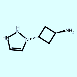 N[C@H]1C[C@H](N2C=CNN2)C1